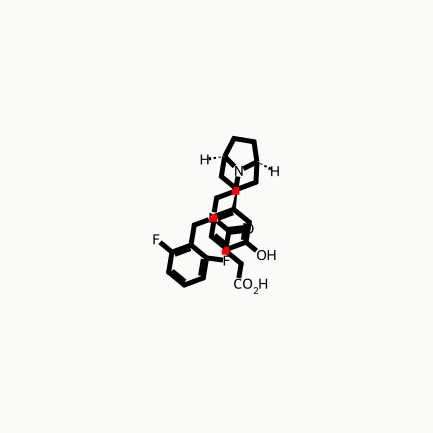 O=C(O)CCC(=O)N(CCN1[C@@H]2CC[C@H]1C[C@@H](c1cccc(O)c1)C2)Cc1c(F)cccc1F